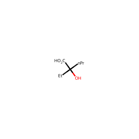 CCCC(O)(CC)C(=O)O